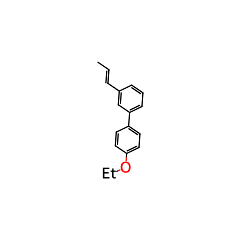 C/C=C/c1cccc(-c2ccc(OCC)cc2)c1